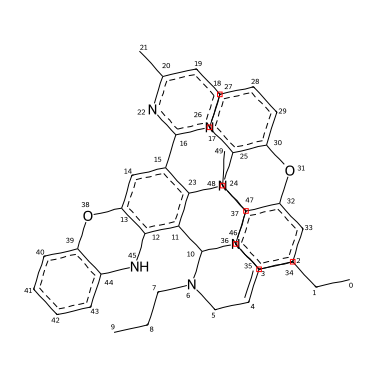 CCCC1=CCN(CCC)C(c2c3c(cc(-c4nccc(C)n4)c2N2c4ccccc4Oc4ccccc42)Oc2ccccc2N3)N1CCC